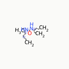 C=C/C=C\C=C(/C)NC(=O)N/C(C=C)=C/C=C